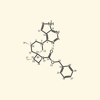 C[C@@H]1CN(c2ncnc3[nH]ccc23)C[C@@]2(C1)[C@@H](C)CN2C(=O)OCc1ccccc1